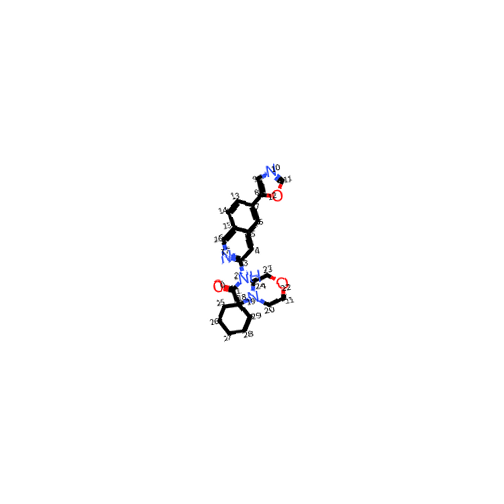 O=C(Nc1cc2cc(-c3cnco3)ccc2cn1)C1(N2CCOCC2)CCCCC1